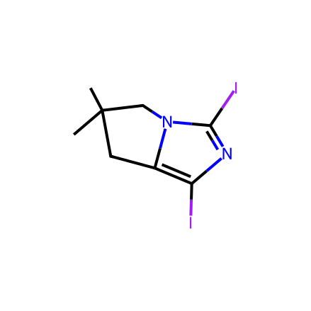 CC1(C)Cc2c(I)nc(I)n2C1